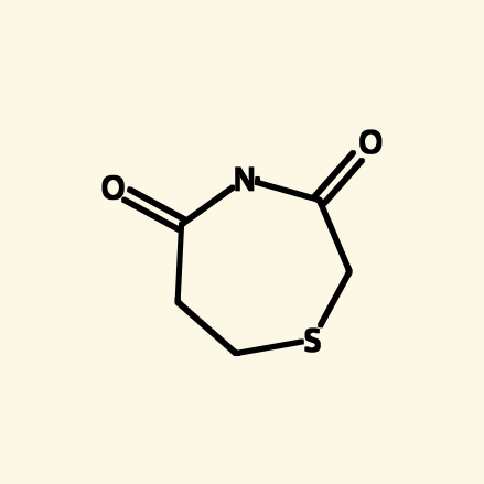 O=C1CCSCC(=O)[N]1